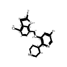 Fc1cnc(C2CCNCC2)c(OCc2ccc(Cl)c3cc(F)oc23)c1